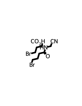 N#CCNC(=O)CCCBr.O=C(O)CCCBr